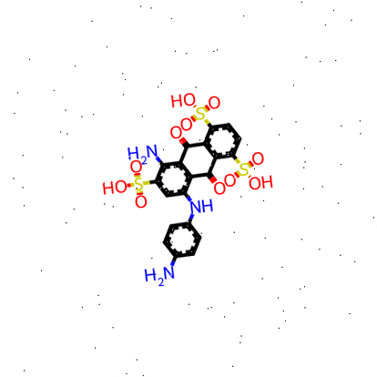 Nc1ccc(Nc2cc(S(=O)(=O)O)c(N)c3c2C(=O)c2c(S(=O)(=O)O)ccc(S(=O)(=O)O)c2C3=O)cc1